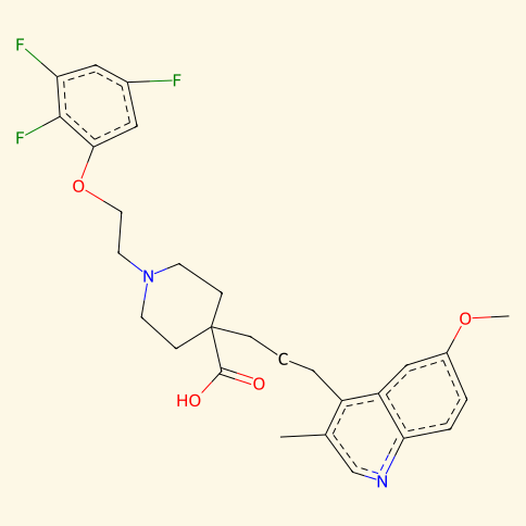 COc1ccc2ncc(C)c(CCCC3(C(=O)O)CCN(CCOc4cc(F)cc(F)c4F)CC3)c2c1